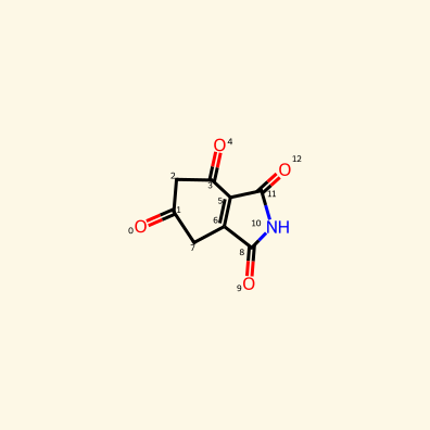 O=C1CC(=O)C2=C(C1)C(=O)NC2=O